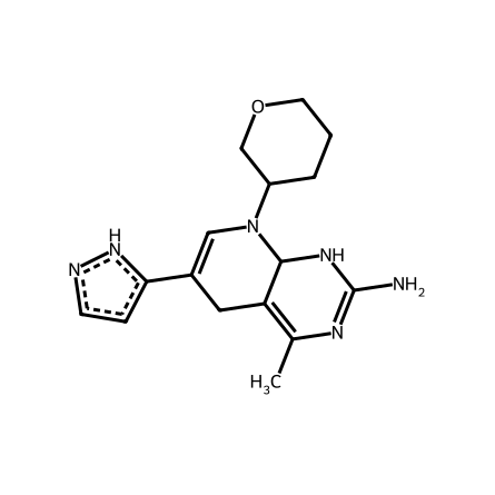 CC1=C2CC(c3ccn[nH]3)=CN(C3CCCOC3)C2NC(N)=N1